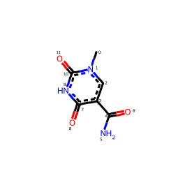 Cn1cc(C(N)=O)c(=O)[nH]c1=O